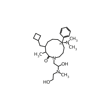 CC1C(=O)N(CC(O)N(C)CCO)CCC[C@](c2ccccc2)(N(C)C)CCCC1CC1CCC1